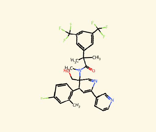 Cc1cc(F)ccc1C1C=C(c2cccnc2)N=CC1(CO)N(C)C(=O)C(C)(C)c1cc(C(F)(F)F)cc(C(F)(F)F)c1